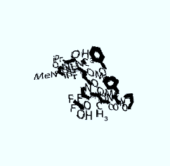 CC[C@H](C)[C@@H]([C@@H](CC(=O)N1CCC[C@H]1[C@H](OC)[C@@H](C)C(=O)N[C@@H](Cc1ccc(OCc2ccccc2)cc1)C(=O)N1CCCCO1)OC)N(C)C(=O)[C@@H](NC(=O)[C@@H](NC)C(C)C)C(C)C.O=C(O)C(F)(F)F